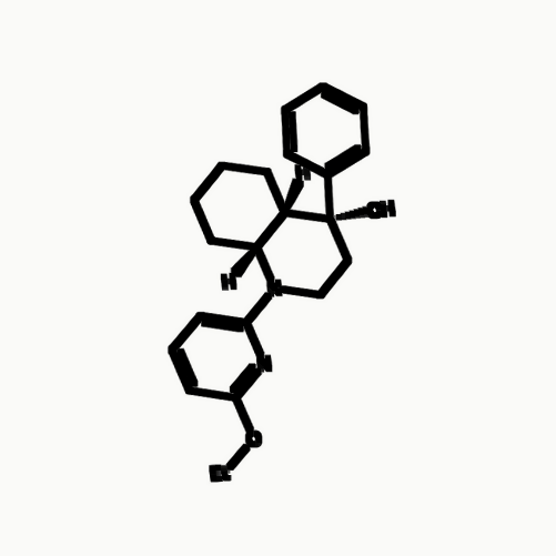 CCOc1cccc(N2CC[C@](O)(c3ccccc3)[C@H]3CCCC[C@H]32)n1